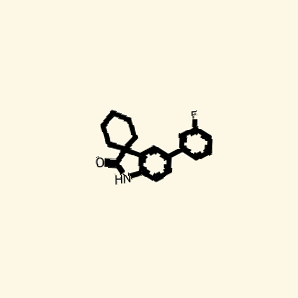 O=C1Nc2ccc(-c3cccc(F)c3)cc2C12CCCCC2